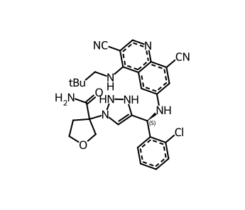 CC(C)(C)CNc1c(C#N)cnc2c(C#N)cc(N[C@H](C3=CN(C4(C(N)=O)CCOC4)NN3)c3ccccc3Cl)cc12